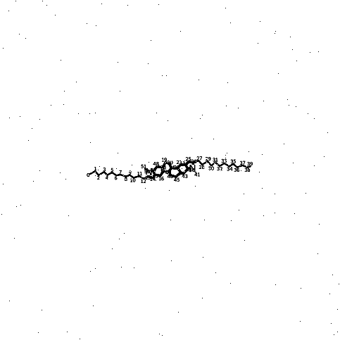 CCCCCCCCCCCCCc1cc2cc3c(ccc4c5cc6cc(CCCCCCCCCCCCC)n(C)c6cc5ccc34)cc2n1C